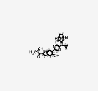 CN(C)C(=O)c1cc2cc(O)c(-c3cnc(N(C4CC4)[C@@H]4C[C@H]5CC[C@H](N5)[C@@H]4F)cn3)cc2o1